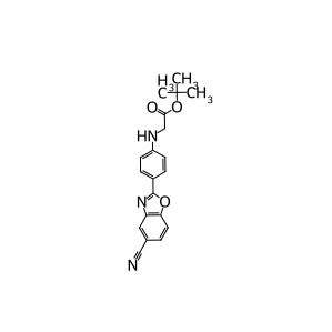 CC(C)(C)OC(=O)CNc1ccc(-c2nc3cc(C#N)ccc3o2)cc1